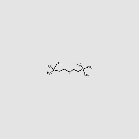 C[Si](C)(C)CCSCC[Si](C)(C)C